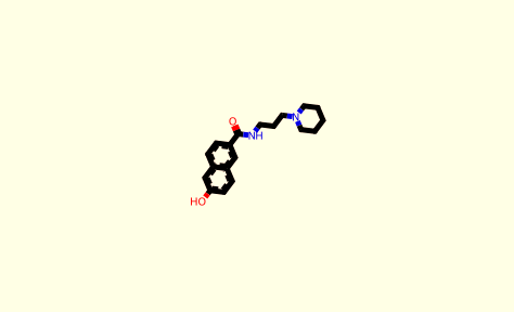 O=C(NCCCN1CCCCC1)c1ccc2cc(O)ccc2c1